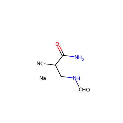 N#CC(CNC=O)C(N)=O.[Na]